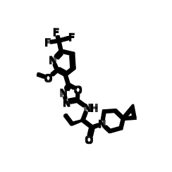 CC[C@@H](Nc1nnc(-c2ccc(C(F)(F)F)nc2OC)o1)C(=O)N1CCC2(CC1)CC2